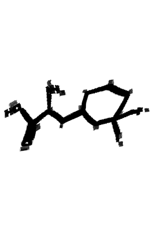 N[C@@H](CC1CCCC(F)(F)C1)C(=O)O